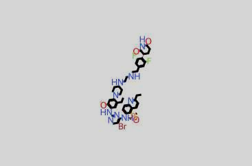 CCc1ccc2c(P(C)(C)=O)c(Nc3nc(Nc4cc(CC)c(N5CCC(NCCNCCc6cc(F)c([C@H]7CCC(=O)NC7=O)c(F)c6)CC5)cc4OC)ncc3Br)ccc2n1